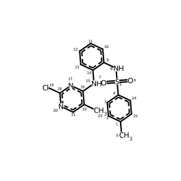 Cc1ccc(S(=O)(=O)Nc2ccccc2Nc2nc(Cl)ncc2C)cc1